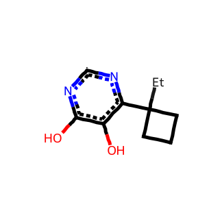 CCC1(c2n[c]nc(O)c2O)CCC1